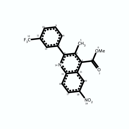 COC(=O)c1c(C)c(-c2cccc(C(F)(F)F)c2)nc2ccc([N+](=O)[O-])cc12